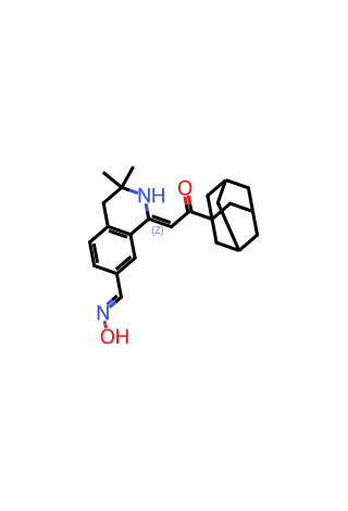 CC1(C)Cc2ccc(C=NO)cc2/C(=C/C(=O)C23CC4CC(CC(C4)C2)C3)N1